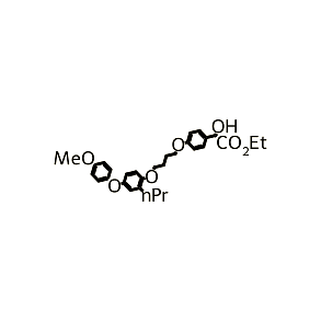 CCCc1cc(Oc2ccc(OC)cc2)ccc1OCCCCOc1ccc(C(O)C(=O)OCC)cc1